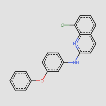 Clc1cccc2ccc(Nc3cccc(Oc4ccccc4)c3)nc12